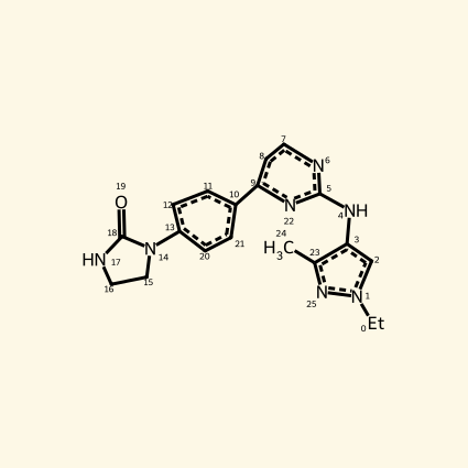 CCn1cc(Nc2nccc(-c3ccc(N4CCNC4=O)cc3)n2)c(C)n1